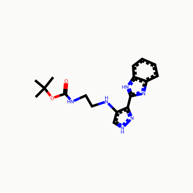 CC(C)(C)OC(=O)NCCNc1c[nH]nc1-c1nc2ccccc2[nH]1